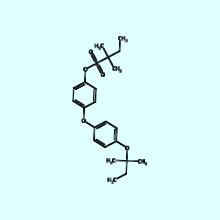 CCC(C)(C)Oc1ccc(Oc2ccc(OS(=O)(=O)C(C)(C)CC)cc2)cc1